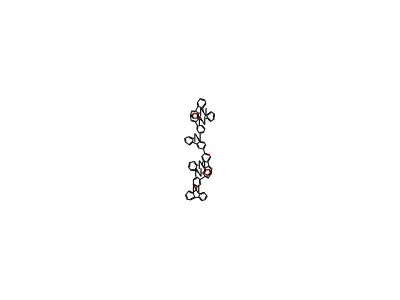 c1ccc(-n2c3ccccc3c3cc(-n4c5ccccc5c5cc(-c6ccc7c8ccccc8n(-c8ccccc8-n8c9ccccc9c9cc(-n%10c%11ccccc%11c%11ccccc%11%10)ccc98)c7c6)ccc54)ccc32)c(-n2c3ccccc3c3ccccc32)c1